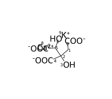 O=C([O-])CC(O)(C(=O)[O-])C(O)C(=O)[O-].[Ca+2].[K+]